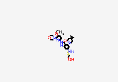 COc1ccc(NC(=O)c2ccc(NSCCO)cc2N2CCC3(CC2)CC3)nc1N1CCOCC1